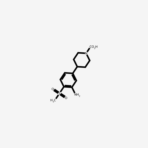 CS(=O)(=O)c1ccc(C2CCN(C(=O)O)CC2)cc1N